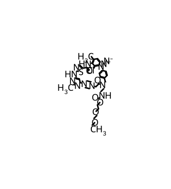 CCOCCOCCOC(=O)NCCN(Cc1ccc(N=[N+]=[N-])cc1)C(=O)CN1CCN(c2cc(Nc3ncc(C(=O)Nc4c(C)cccc4Cl)s3)nc(C)n2)CC1